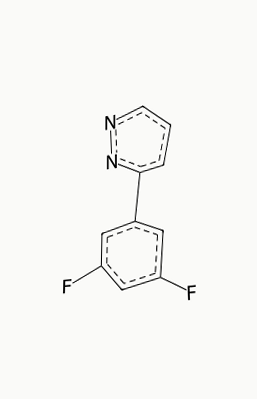 Fc1cc(F)cc(-c2cccnn2)c1